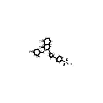 CS(=O)(=O)c1ccc(-c2ccc(-c3cc4cccc(Cl)c4c(=O)n3Cc3ccc(F)cc3F)o2)cc1